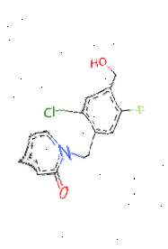 O=c1ccccn1Cc1cc(F)c(CO)cc1Cl